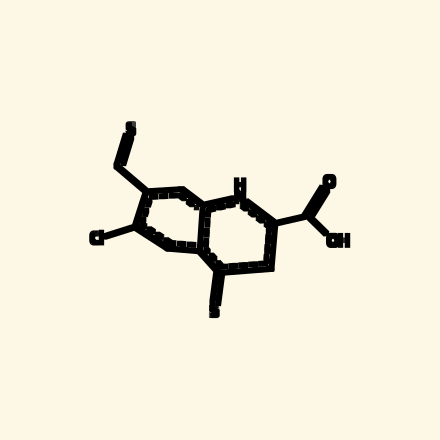 O=C(O)c1cc(=S)c2cc(Cl)c(C=S)cc2[nH]1